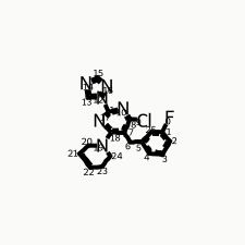 Fc1cccc(Cc2c(Cl)nc(-n3cncn3)nc2N2CC=CCC2)c1